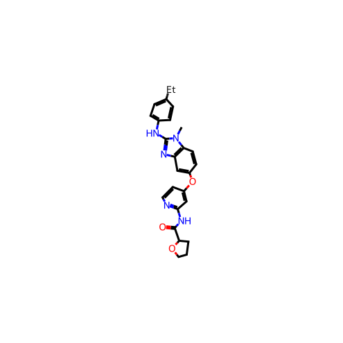 CCc1ccc(Nc2nc3cc(Oc4ccnc(NC(=O)C5CCCO5)c4)ccc3n2C)cc1